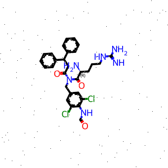 N=C(N)NCCC[C@@H](N)C(=O)N(Cc1cc(Cl)c(NC=O)c(Cl)c1)C(=O)CC(c1ccccc1)c1ccccc1